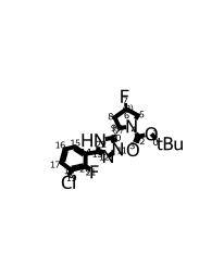 CC(C)(C)OC(=O)N1C[C@H](F)C[C@H]1c1nnc(-c2cccc(Cl)c2F)[nH]1